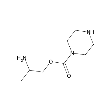 CC(N)COC(=O)N1CCNCC1